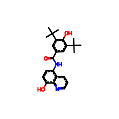 CC(C)(C)c1cc(C(=O)Nc2ccc(O)c3ncccc23)cc(C(C)(C)C)c1O